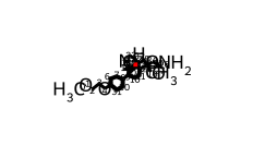 COCCOc1ccc(-c2ccc(C(C)(C[C@@H]3CN4CCC3CC4)OC(N)=O)cc2)cc1